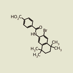 CC1(C)CCC(C)(C)c2cc(NC(=O)c3ccc(C(=O)O)cc3)c(Br)cc21